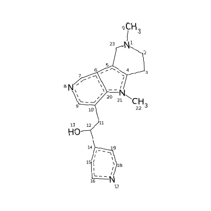 CN1CCc2c(c3cncc(CC(O)c4ccncc4)c3n2C)C1